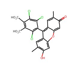 Cc1cc2c(-c3c(Cl)c(Cl)c(C(=O)O)c(C(=O)O)c3Cl)c3cc(C)c(=O)cc-3oc2cc1O